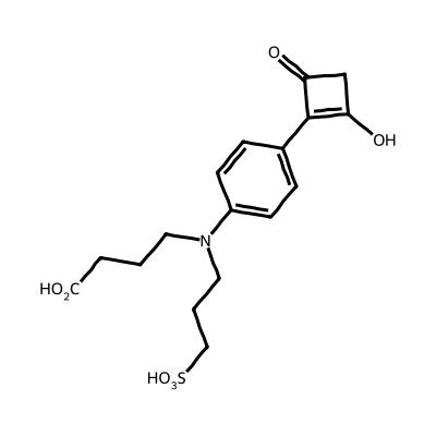 O=C(O)CCCN(CCCS(=O)(=O)O)c1ccc(C2=C(O)CC2=O)cc1